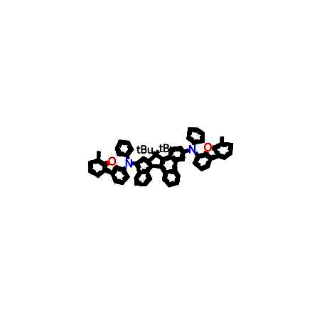 Cc1cccc2c1oc1c(N(c3ccccc3)c3ccc4c5c(c6ccccc6c4c3)-c3c(cc(N(c4ccccc4)c4cccc6c4oc4c(C)cccc46)c4ccccc34)C5(C(C)(C)C)C(C)(C)C)cccc12